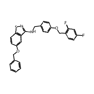 Fc1ccc(COc2ccc(CNc3nsc4ccc(OCc5ccccc5)cc34)cc2)c(F)c1